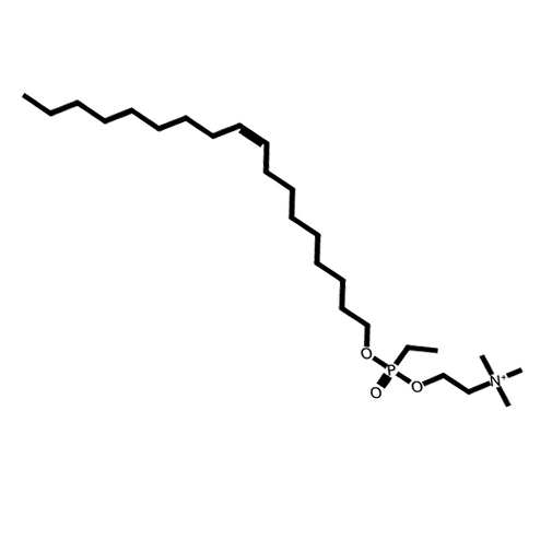 CCCCCCCC/C=C\CCCCCCCCOP(=O)(CC)OCC[N+](C)(C)C